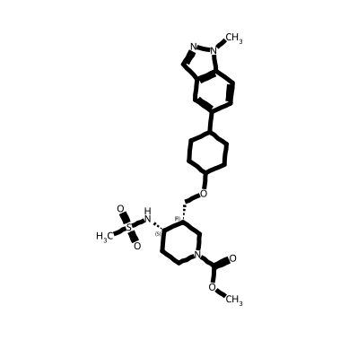 COC(=O)N1CC[C@H](NS(C)(=O)=O)[C@H](COC2CCC(c3ccc4c(cnn4C)c3)CC2)C1